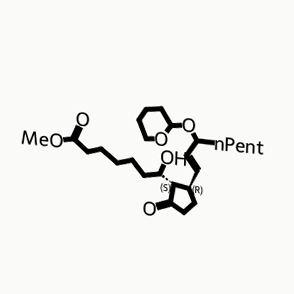 CCCCCC(C=C[C@H]1CCC(=O)[C@@H]1C(O)CCCCCC(=O)OC)OC1CCCCO1